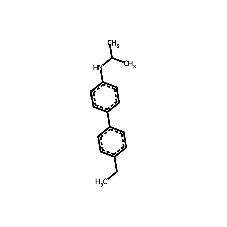 CCc1ccc(-c2ccc(NC(C)C)cc2)cc1